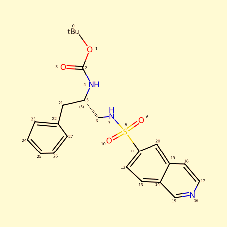 CC(C)(C)OC(=O)N[C@H](CNS(=O)(=O)c1ccc2cnccc2c1)Cc1ccccc1